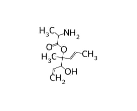 C=CC(O)C(C)(C=CC)OC(=O)C(C)N